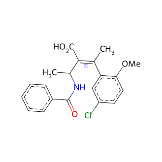 COc1ccc(Cl)cc1/C(C)=C(/C(=O)O)C(C)NC(=O)c1ccccc1